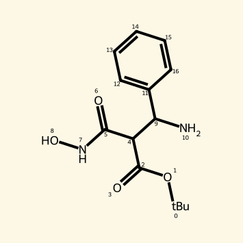 CC(C)(C)OC(=O)C(C(=O)NO)C(N)c1ccccc1